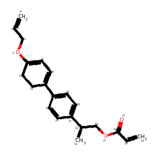 C=CCOC1=CC=C(c2ccc(C(C)COC(=O)C=C)cc2)CC1